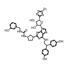 CCn1nnc([C@H]2O[C@@H](n3cnc4c(NCC(c5ccc(O)cc5)c5ccc(O)cc5)nc(N5CC[C@@H](NC(=O)NCc6cccc(O)c6)C5)nc43)[C@@H](O)[C@@H]2O)n1